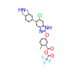 Cc1ccc(Oc2nc3cc(-c4ccc5c(c4)CNC5)c(Cl)cc3[nH]2)cc1C(=O)OC(=O)C(F)(F)F